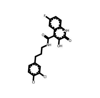 O=C(NCCCc1ccc(Cl)c(Cl)c1)c1c(O)c(=O)[nH]c2ccc(F)cc12